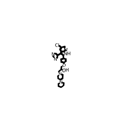 OC(COc1ccc(-c2[nH]c3ncc(Cl)cc3c2-c2cncnc2)cc1)CN1CCC(N2CCCCC2)CC1